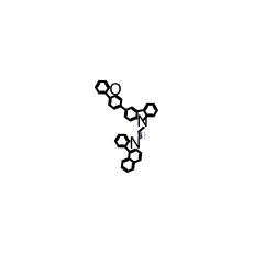 C(=C\n1c2ccccc2c2c3ccccc3ccc21)/Cn1c2ccccc2c2cc(-c3ccc4c(c3)oc3ccccc34)ccc21